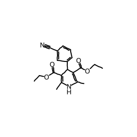 CCOC(=O)C1=C(C)NC(C)=C(C(=O)OCC)C1c1cccc(C#N)c1